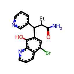 CCC(C(N)=O)C(c1cccnc1)c1cc(Br)c2cccnc2c1O